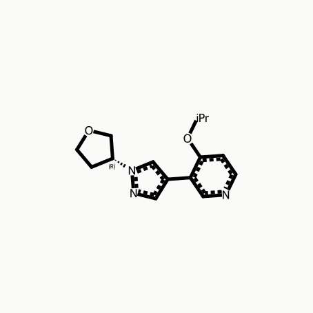 CC(C)Oc1ccncc1-c1cnn([C@@H]2CCOC2)c1